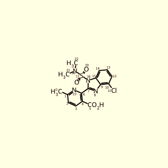 Cc1ccc(C(=O)O)c(-c2nc3c(Cl)cccc3n2S(=O)(=O)N(C)C)n1